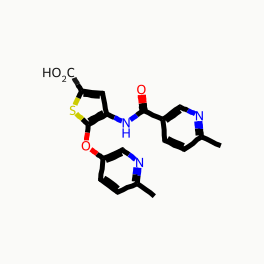 Cc1ccc(Oc2sc(C(=O)O)cc2NC(=O)c2ccc(C)nc2)cn1